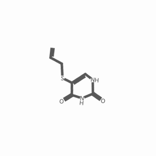 C=CCSc1c[nH]c(=O)[nH]c1=O